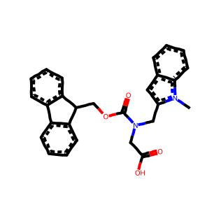 Cn1c(CN(CC(=O)O)C(=O)OCC2c3ccccc3-c3ccccc32)cc2ccccc21